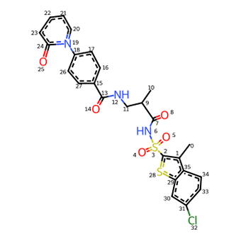 Cc1c(S(=O)(=O)NC(=O)C(C)CNC(=O)c2ccc(-n3ccccc3=O)cc2)sc2cc(Cl)ccc12